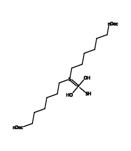 CCCCCCCCCCCCCCCCS(CCCCCCCCCCCCCCCC)=P(O)(O)S